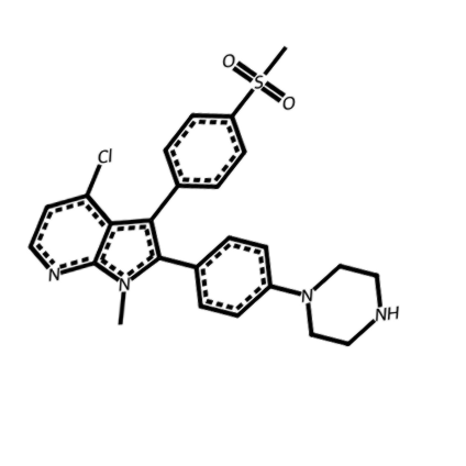 Cn1c(-c2ccc(N3CCNCC3)cc2)c(-c2ccc(S(C)(=O)=O)cc2)c2c(Cl)ccnc21